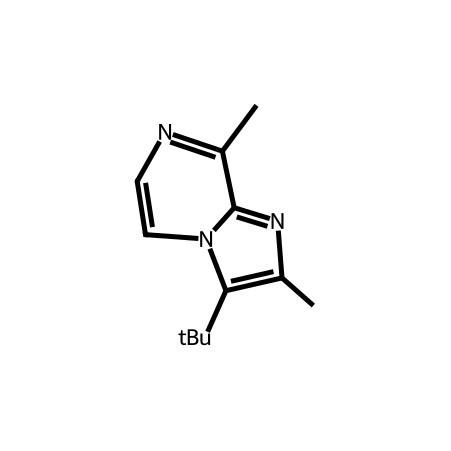 Cc1nc2c(C)nccn2c1C(C)(C)C